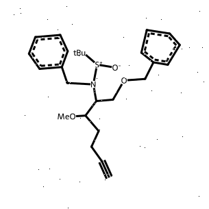 C#CCCC(OC)C(COCc1ccccc1)N(Cc1ccccc1)[S+]([O-])C(C)(C)C